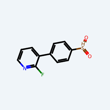 O=[SH](=O)c1ccc(-c2cccnc2F)cc1